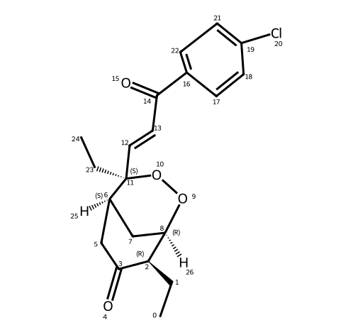 CC[C@H]1C(=O)C[C@@H]2C[C@H]1OO[C@@]2(C=CC(=O)c1ccc(Cl)cc1)CC